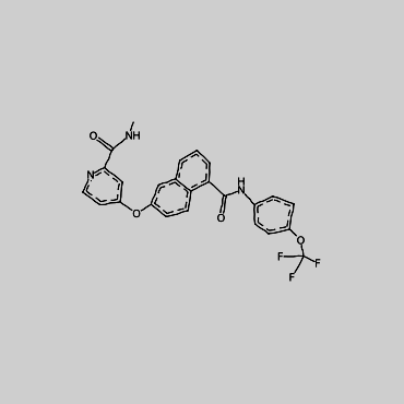 CNC(=O)c1cc(Oc2ccc3c(C(=O)Nc4ccc(OC(F)(F)F)cc4)cccc3c2)ccn1